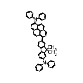 CC1(C)c2cc(-c3ccc4ccc5c(N(c6ccccc6)c6ccccc6)ccc6ccc3c4c65)ccc2-c2ccc(N(c3ccccc3)c3ccccc3)cc21